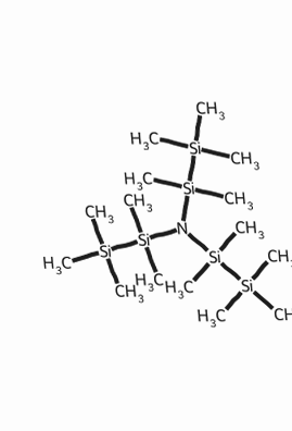 C[Si](C)(C)[Si](C)(C)N([Si](C)(C)[Si](C)(C)C)[Si](C)(C)[Si](C)(C)C